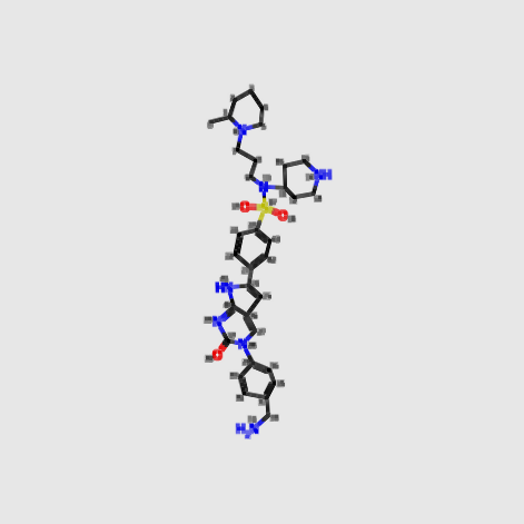 CC1CCCCN1CCCN(C1CCNCC1)S(=O)(=O)c1ccc(-c2cc3cn(-c4ccc(CN)cc4)c(=O)nc3[nH]2)cc1